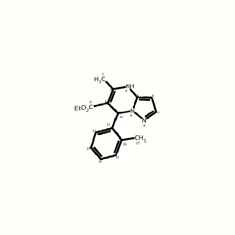 CCOC(=O)C1=C(C)Nc2ccnn2C1c1ccccc1C